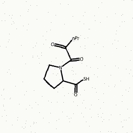 CCCC(=O)C(=O)N1CCCC1C(=O)S